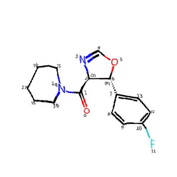 O=C([C@H]1N=CO[C@@H]1c1ccc(F)cc1)N1CCCCC1